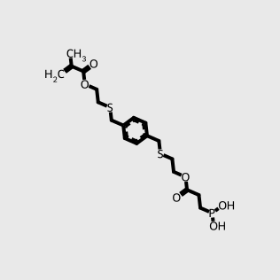 C=C(C)C(=O)OCCSCc1ccc(CSCCOC(=O)CCP(O)O)cc1